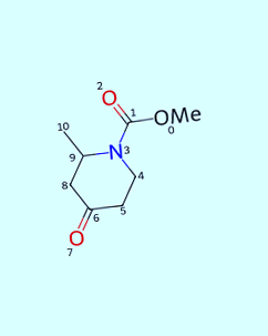 COC(=O)N1CCC(=O)CC1C